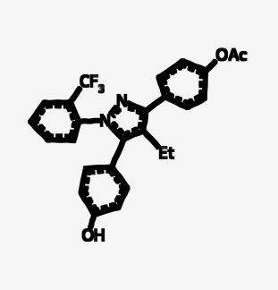 CCc1c(-c2ccc(OC(C)=O)cc2)nn(-c2ccccc2C(F)(F)F)c1-c1ccc(O)cc1